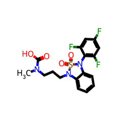 CN(CCCN1c2ccccc2N(c2c(F)cc(F)cc2F)S1(=O)=O)C(=O)O